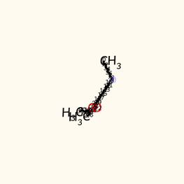 CCCCCCCC/C=C\CCCCCCCCCCCC(=O)OCC(CC)CCCC